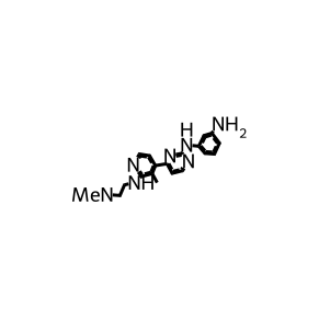 CNCCNc1nccc(-c2ccnc(Nc3cccc(N)c3)n2)c1C